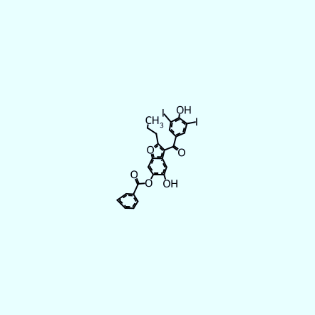 CCCc1oc2cc(OC(=O)c3ccccc3)c(O)cc2c1C(=O)c1cc(I)c(O)c(I)c1